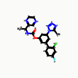 CCCc1nnnn1-c1cc(OC(=O)NC(C)c2cnccn2)cc(-c2ccc(F)cc2Cl)c1